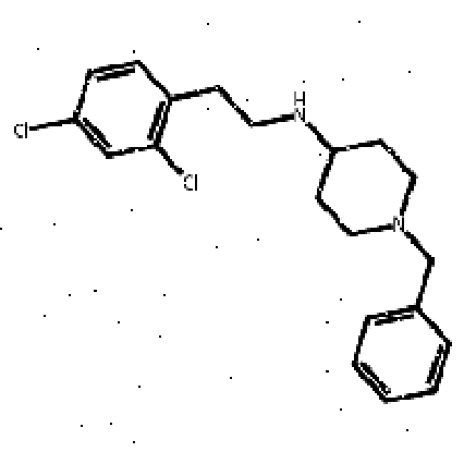 Clc1ccc(CCNC2CCN(Cc3ccccc3)CC2)c(Cl)c1